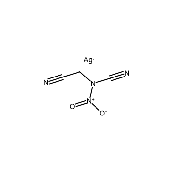 N#CCN(C#N)[N+](=O)[O-].[Ag]